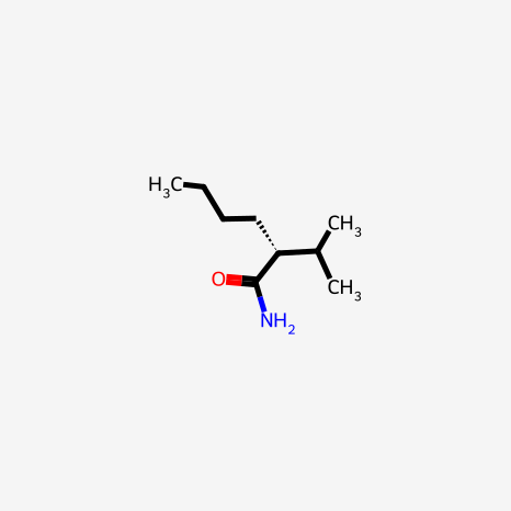 CCCC[C@@H](C(N)=O)C(C)C